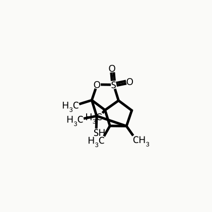 CC1C2(C)CC3C1(C)C(C)(OS3(=O)=O)C2(C)S